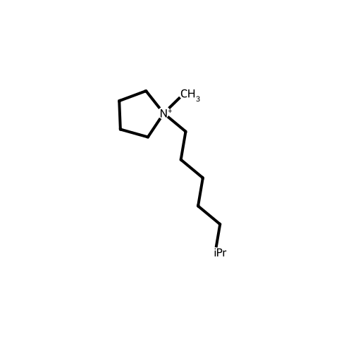 CC(C)CCCCC[N+]1(C)CCCC1